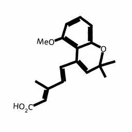 COc1cccc2c1C(/C=C/C(C)=C/C(=O)O)=CC(C)(C)O2